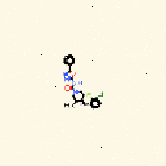 CC1CN(C(=O)Nc2nnc(-c3ccccc3)o2)CC/C1=C\c1cccc(Cl)c1F